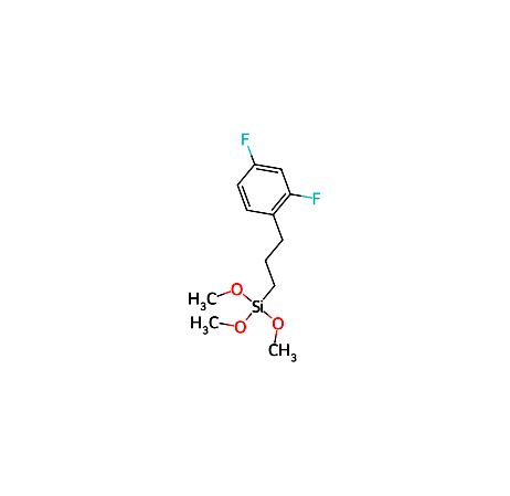 CO[Si](CCCc1ccc(F)cc1F)(OC)OC